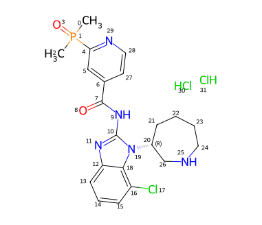 CP(C)(=O)c1cc(C(=O)Nc2nc3cccc(Cl)c3n2[C@@H]2CCCCNC2)ccn1.Cl.Cl